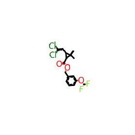 CC1(C)C(C=C(Cl)Cl)C1C(=O)OCc1cccc(OC(F)F)c1